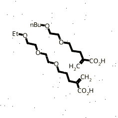 C=C(CCCOCCOCCCC)C(=O)O.C=C(CCCOCCOCCOCC)C(=O)O